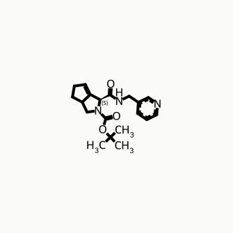 CC(C)(C)OC(=O)N1CC2CCC=C2[C@H]1C(=O)NCc1cccnc1